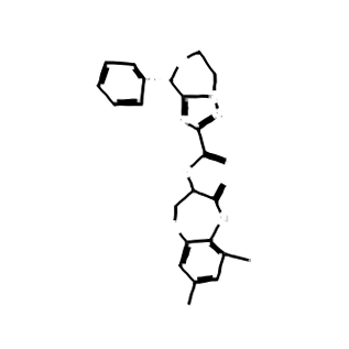 Cc1cc(F)c2c(c1)OCC(NC(=O)c1nc3n(n1)CCO[C@H]3c1ccccc1)C(=O)N2